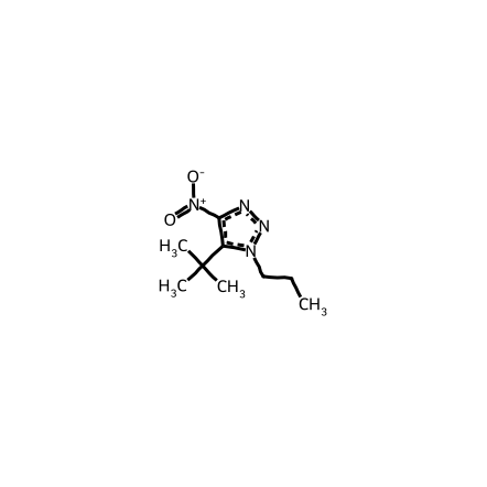 CCCn1nnc([N+](=O)[O-])c1C(C)(C)C